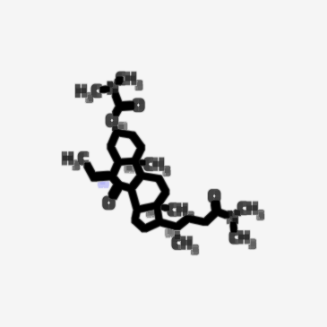 C/C=C1/C(=O)C2C(CC[C@@]3(C)C2CCC3[C@@H](C)CCC(=O)N(C)C)[C@@]2(C)CC[C@@H](OC(=O)N(C)C)CC12